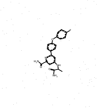 CC(Nc1cc(C(N)=O)nc(-c2ccc(Oc3ccc(F)cc3)cc2)c1)C(N)=O